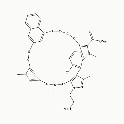 COCCn1nc(C)c2c1CN(C)Cc1cc(n(C)n1)CSc1cc(c3ccccc3c1)OCCCc1c(C(=O)OC)n(C)c3c-2c(Cl)ccc13